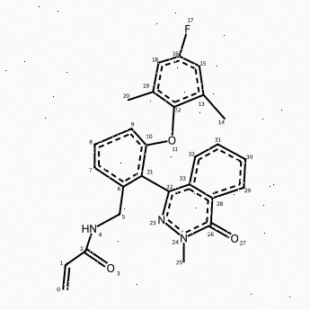 C=CC(=O)NCc1cccc(Oc2c(C)cc(F)cc2C)c1-c1nn(C)c(=O)c2ccccc12